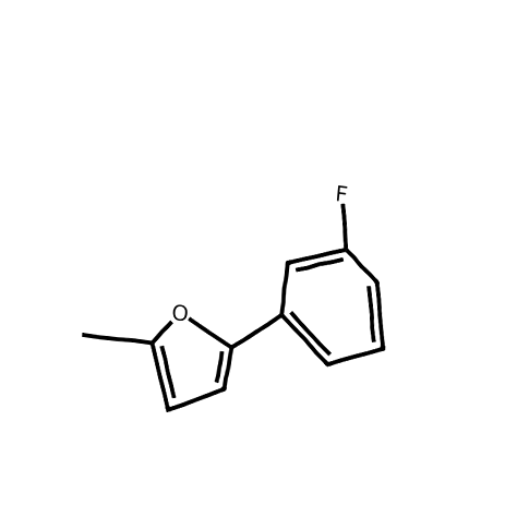 Cc1ccc(-c2cccc(F)c2)o1